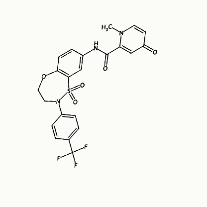 Cn1ccc(=O)cc1C(=O)Nc1ccc2c(c1)S(=O)(=O)N(c1ccc(C(F)(F)F)cc1)CCO2